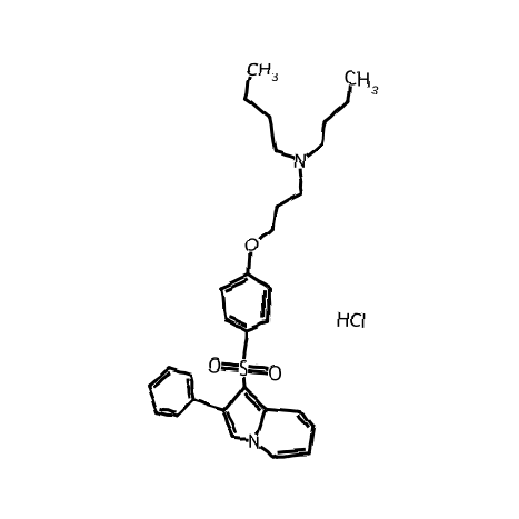 CCCCN(CCCC)CCCOc1ccc(S(=O)(=O)c2c(-c3ccccc3)cn3ccccc23)cc1.Cl